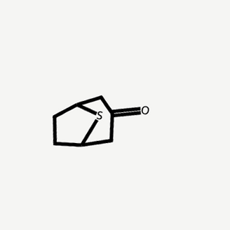 O=C1CC2CCC(C1)S2